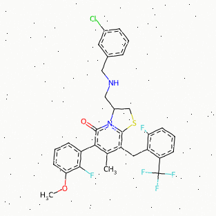 COc1cccc(-c2c(C)c(Cc3c(F)cccc3C(F)(F)F)c3n(c2=O)C(CNCc2cccc(Cl)c2)CS3)c1F